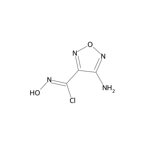 Nc1nonc1C(Cl)=NO